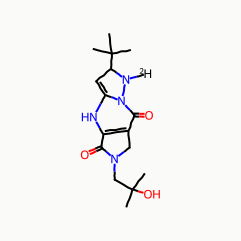 [2H]N1C(C(C)(C)C)C=C2NC3=C(CN(CC(C)(C)O)C3=O)C(=O)N21